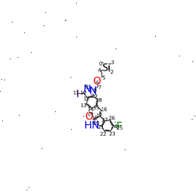 C[Si](C)(C)CCOCn1nc(I)c2ccc(/C=C3\C(=O)Nc4ccc(F)cc43)cc21